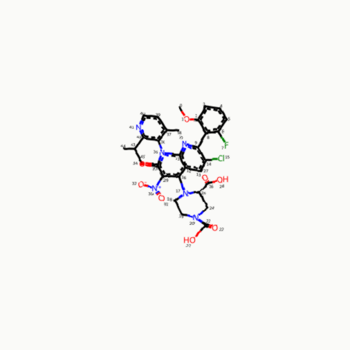 COc1cccc(F)c1-c1nc2c(cc1Cl)c(N1CCN(C(=O)O)C[C@@H]1C(=O)O)c([N+](=O)[O-])c(=O)n2-c1c(C)ccnc1C(C)C